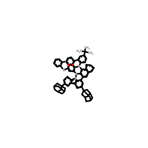 CC(C)(C)c1ccc(N2c3cc4c(cc3B3c5c(cc6ccccc6c52)-c2cc(C56CC7CC(CC(C7)C5)C6)cc5c6cc(C78CC9CC(CC(C9)C7)C8)ccc6n3c25)Sc2ccccc2S4)c(-c2ccccc2)c1